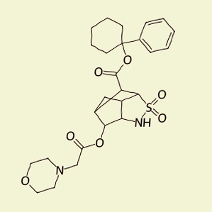 O=C(CN1CCOCC1)OC1C2CC3C1NS(=O)(=O)C3C2C(=O)OC1(c2ccccc2)CCCCC1